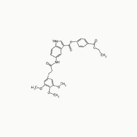 CCOC(=O)c1ccc(OC(=O)c2c[nH]c3ccc(NC(=O)CCc4cc(OC)c(OC)c(OC)c4)cc23)cc1